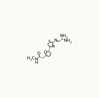 CNC(=O)Cc1ccc(-c2csc(N=CC(N)N)n2)o1